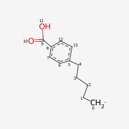 [CH2]CCCCc1ccc(C(=O)O)cc1